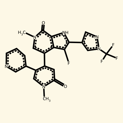 Cn1cc(-c2cccnc2)c(-c2cn(C)c(=O)c3[nH]c(-c4cnn(C(F)(F)F)c4)c(F)c23)cc1=O